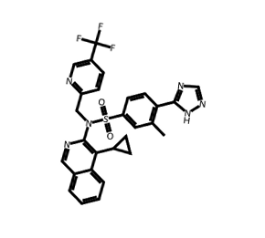 Cc1cc(S(=O)(=O)N(Cc2ccc(C(F)(F)F)cn2)c2ncc3ccccc3c2C2CC2)ccc1-c1ncn[nH]1